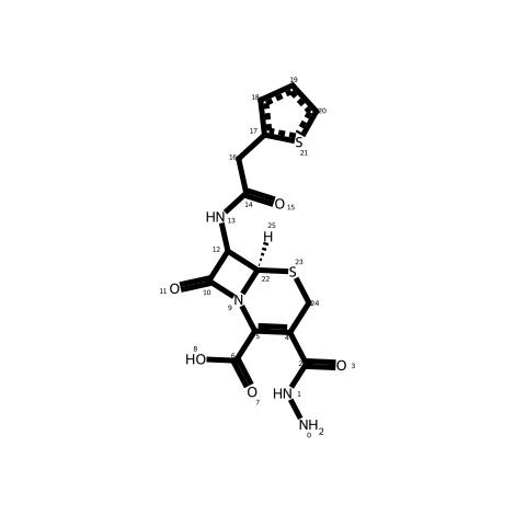 NNC(=O)C1=C(C(=O)O)N2C(=O)C(NC(=O)Cc3cccs3)[C@H]2SC1